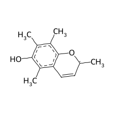 C[C]1C=Cc2c(C)c(O)c(C)c(C)c2O1